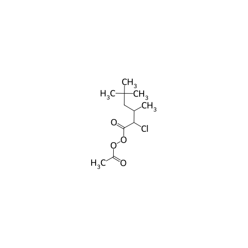 CC(=O)OOC(=O)C(Cl)C(C)CC(C)(C)C